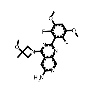 COc1cc(OC)c(F)c(-c2nc(N3CC(C)(OC)C3)c3cc(N)ncc3n2)c1F